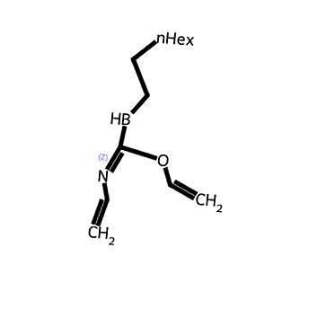 C=C/N=C(/BCCCCCCCC)OC=C